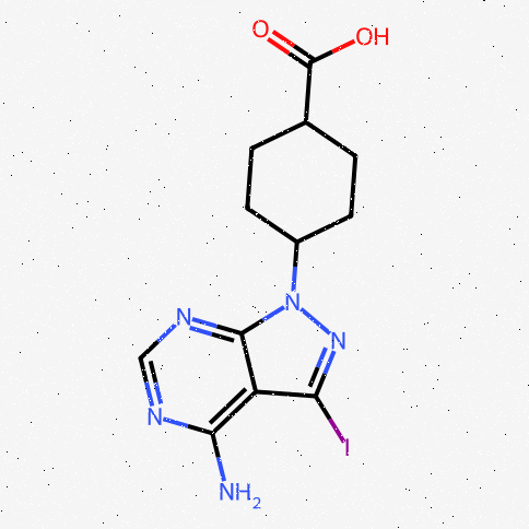 Nc1ncnc2c1c(I)nn2C1CCC(C(=O)O)CC1